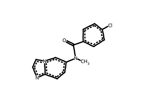 CN(C(=O)c1ccc(Cl)cc1)c1ccc2nccn2c1